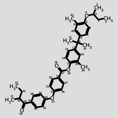 CCC(C)Oc1ccc(C(C)(C)c2ccc(OC(=O)c3ccc(Oc4ccc(C(=O)C(C)CC)cc4)cc3)c(C)c2)cc1C